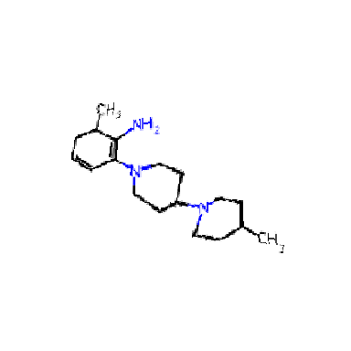 CC1CCN(C2CCN(C3=C(N)C(C)CC=C3)CC2)CC1